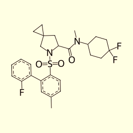 Cc1ccc(S(=O)(=O)N2CC3(CC3)CC2C(=O)N(C)C2CCC(F)(F)CC2)c(-c2ccccc2F)c1